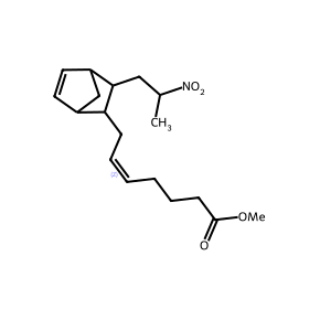 COC(=O)CCC/C=C\CC1C2C=CC(C2)C1CC(C)[N+](=O)[O-]